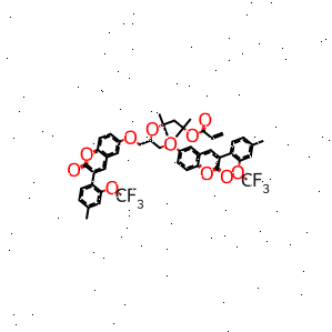 C=CC(=O)OC(C)(C)CC(C)(C)OC(COc1ccc2oc(=O)c(-c3ccc(C)cc3OC(F)(F)F)cc2c1)COc1ccc2oc(=O)c(-c3ccc(C)cc3OC(F)(F)F)cc2c1